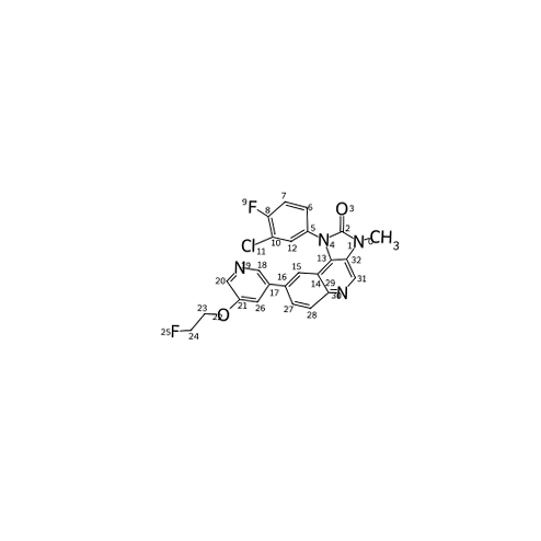 Cn1c(=O)n(-c2ccc(F)c(Cl)c2)c2c3cc(-c4cncc(OCCF)c4)ccc3ncc21